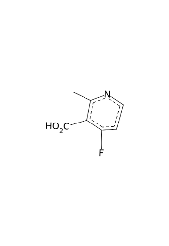 Cc1nccc(F)c1C(=O)O